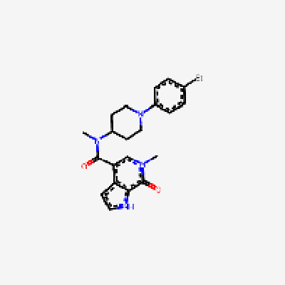 CCc1ccc(N2CCC(N(C)C(=O)c3cn(C)c(=O)c4[nH]ccc34)CC2)cc1